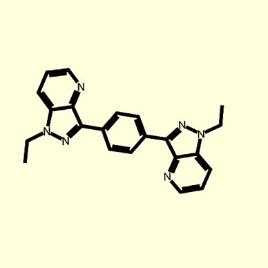 CCn1nc(-c2ccc(-c3nn(CC)c4cccnc34)cc2)c2ncccc21